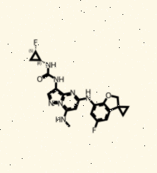 CNc1cc(Nc2cc(F)cc3c2OCC32CC2)nc2c(NC(=O)N[C@@H]3C[C@@H]3F)cnn12